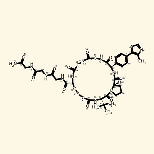 Cc1ncsc1-c1ccc([C@H]2NC(=O)[C@@H]3CCCN3C(=O)[C@H](C(C)(C)C)NC(=O)CSC[C@H](C(=O)NCC(=O)NCC(=O)NCC(N)=O)NC(=O)CNC(=O)CNC2=O)cc1